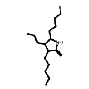 C=C1NC(CCCCC)C(CCC)C1CCCCC